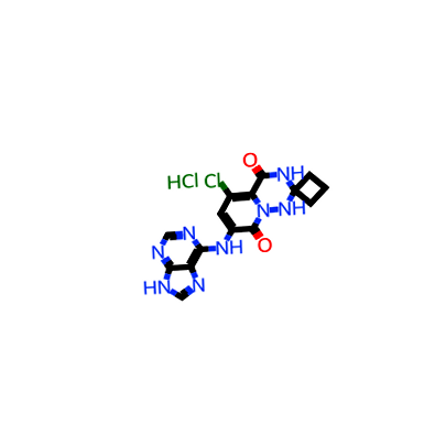 Cl.O=C1NC2(CCC2)Nn2c1c(Cl)cc(Nc1ncnc3[nH]cnc13)c2=O